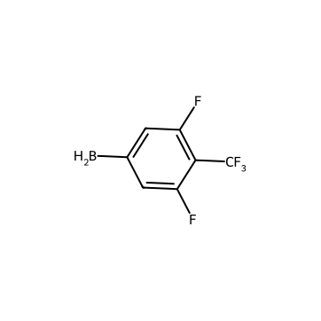 Bc1cc(F)c(C(F)(F)F)c(F)c1